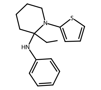 CCC1(Nc2ccccc2)CCCCN1c1cccs1